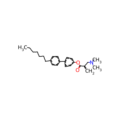 C=C(CN(C)C)C(=O)Oc1ccc(-c2ccc(CCCCCCC)cc2)cc1